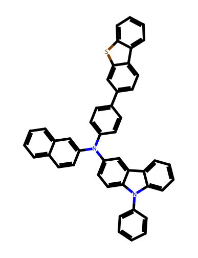 c1ccc(-n2c3ccccc3c3cc(N(c4ccc(-c5ccc6c(c5)sc5ccccc56)cc4)c4ccc5ccccc5c4)ccc32)cc1